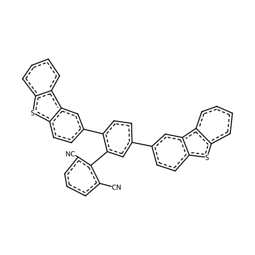 N#Cc1cccc(C#N)c1-c1cc(-c2ccc3sc4ccccc4c3c2)ccc1-c1ccc2sc3ccccc3c2c1